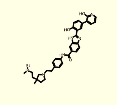 CCN(C)CCC1(C)CCN(CCc2ccc(NC(=O)c3ccc4nc(-c5cc(-c6cccnc6O)ccc5O)[nH]c4c3)cc2)C1